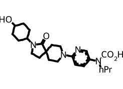 CCCN(C(=O)O)c1ccc(N2CCC3(CC2)CCN(C2CCC(O)CC2)C3=O)nc1